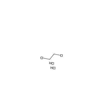 Cl.Cl.ClCCCl